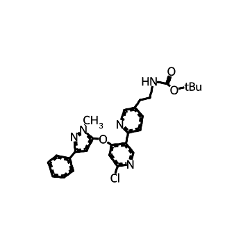 Cn1nc(-c2ccccc2)cc1Oc1cc(Cl)ncc1-c1ccc(CCNC(=O)OC(C)(C)C)cn1